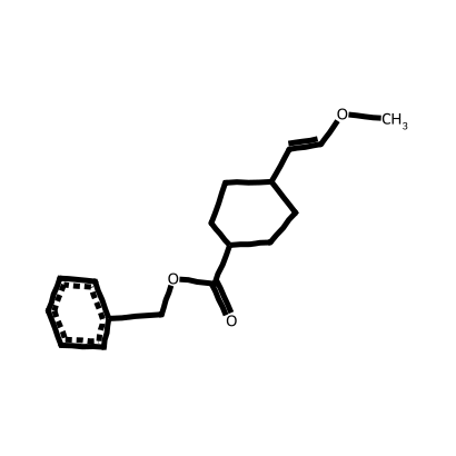 COC=CC1CCC(C(=O)OCc2ccccc2)CC1